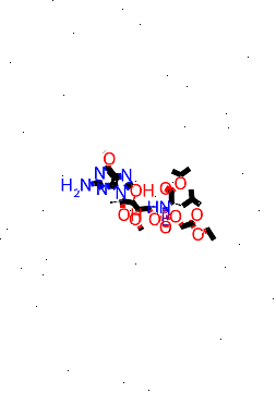 CCOC(=O)COP(=O)(N[C@@H](CC(C)C)C(=O)OC(C)C)OCC(OC)[C@@H](O)[C@@](C)(O)n1cnc2c(OC)nc(N)nc21